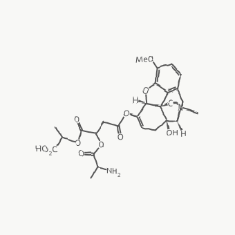 COc1ccc2c3c1O[C@H]1C(OC(=O)CC(OC(=O)C(C)N)C(=O)OC(C)C(=O)O)=CC[C@@]4(O)[C@@H](C2)N(C)CC[C@]314